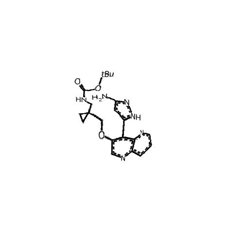 CC(C)(C)OC(=O)NCC1(COc2cnc3cccnc3c2-c2cc(N)n[nH]2)CC1